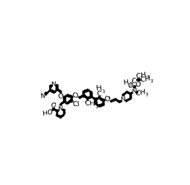 Cc1c(COc2cc(OCc3cncc(C#N)c3)c(CN3CCCCC3C(=O)O)cc2Cl)cccc1-c1cccc(OCCCN2CCC(N(C)C(=O)OC(C)(C)C)CC2)c1C